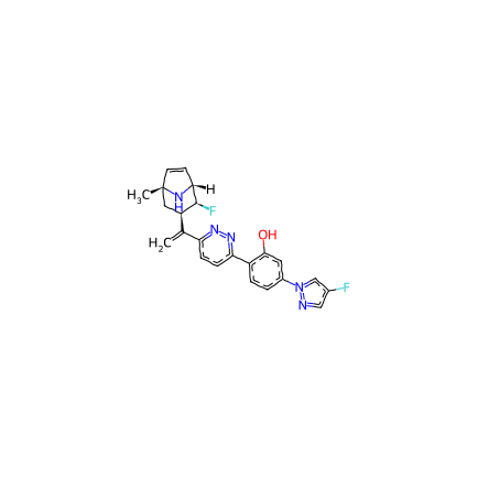 C=C(c1ccc(-c2ccc(-n3cc(F)cn3)cc2O)nn1)[C@H]1C[C@]2(C)C=C[C@@H](N2)[C@H]1F